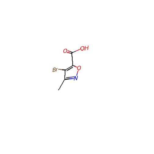 Cc1noc(C(=O)O)c1Br